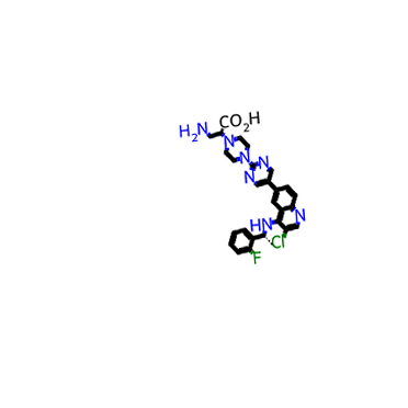 C[C@@H](Nc1c(Cl)cnc2ccc(-c3cnc(N4CCN([C@@H](CN)C(=O)O)CC4)nc3)cc12)c1ccccc1F